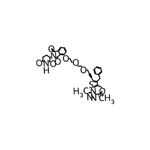 Cc1nnc2n1-c1sc(C#CCOCCOCCOc3cccc4c3C(=O)N(C3CCC(=O)NC3=O)C4=O)c(Cc3ccccc3)c1CO[C@H]2C